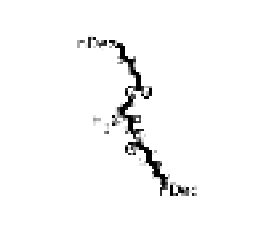 CCCCCCCCCCCCCCCC(=O)OCCN(C)CCOC(=O)CCCCCCCCCCCCCCC